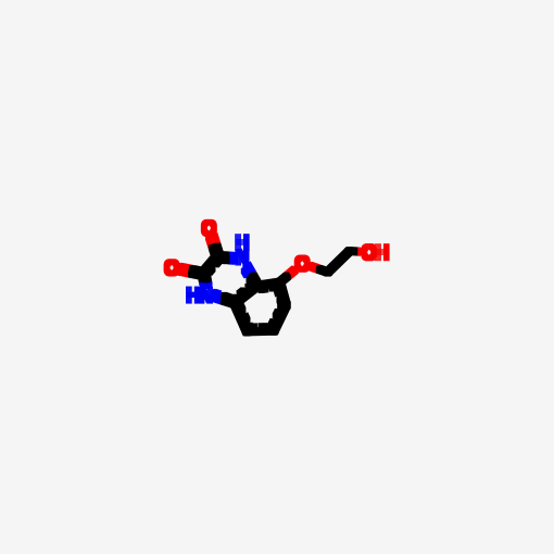 O=c1[nH]c2cccc(OCCO)c2[nH]c1=O